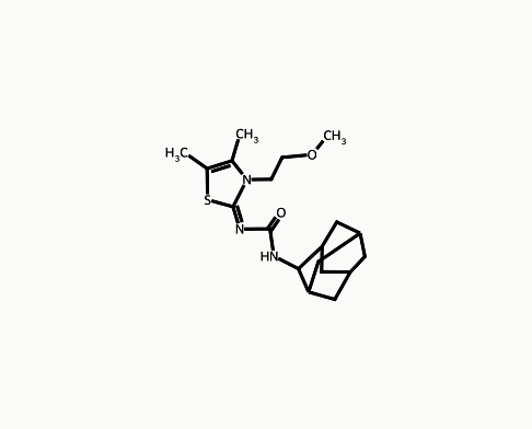 COCCn1c(C)c(C)sc1=NC(=O)NC1C2CC3CC(C2)CC1C3